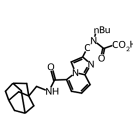 CCCCN(Cc1cn2c(C(=O)NCC34CC5CC(CC(C5)C3)C4)cccc2n1)C(=O)C(=O)O